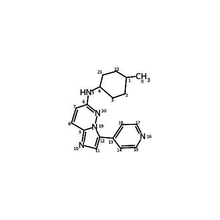 CC1CCC(Nc2ccc3ncc(-c4ccncc4)n3n2)CC1